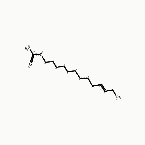 CC/C=C/CCCCCCCCCOC(C)=O